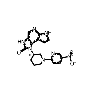 O=c1[nH]c2cnc3[nH]ccc3c2n1[C@@H]1CCCN(c2ccc([N+](=O)[O-])cn2)C1